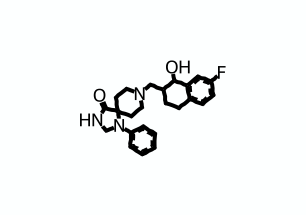 O=C1NCN(c2ccccc2)C12CCN(CC1CCc3ccc(F)cc3C1O)CC2